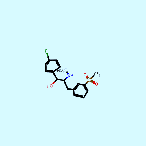 O=C(O)NC(Cc1cccc(S(=O)(=O)C(F)(F)F)c1)C(O)c1ccc(F)cc1